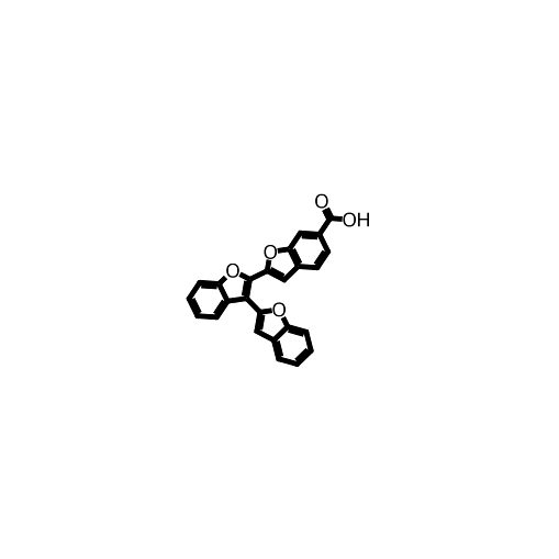 O=C(O)c1ccc2cc(-c3oc4ccccc4c3-c3cc4ccccc4o3)oc2c1